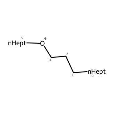 CCCCCCCCCCOCCCCCCC